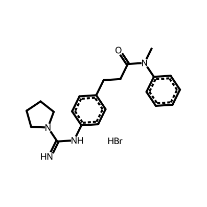 Br.CN(C(=O)CCc1ccc(NC(=N)N2CCCC2)cc1)c1ccccc1